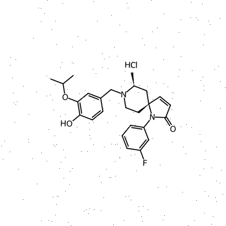 CC(C)Oc1cc(CN2CC[C@]3(C=CC(=O)N3c3cccc(F)c3)C[C@@H]2C)ccc1O.Cl